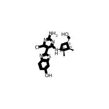 C[C@@H]1[C@@H](CO)C[C@@H](Nc2nc(N)nc(Cl)c2-c2nc3ccc(O)cc3s2)[C@@H]1C